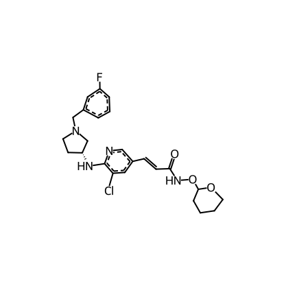 O=C(/C=C/c1cnc(N[C@@H]2CCN(Cc3cccc(F)c3)C2)c(Cl)c1)NOC1CCCCO1